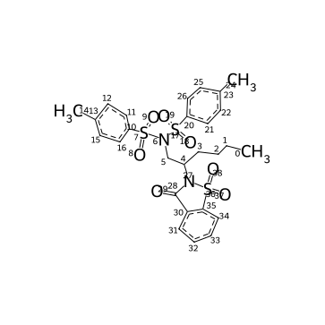 CCCCC(CN(S(=O)(=O)c1ccc(C)cc1)S(=O)(=O)c1ccc(C)cc1)N1C(=O)c2ccccc2S1(=O)=O